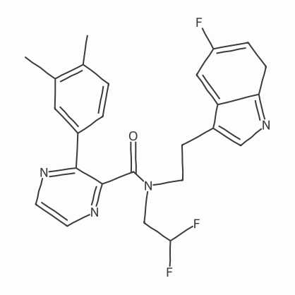 Cc1ccc(-c2nccnc2C(=O)N(CCC2=CN=C3CC=C(F)C=C23)CC(F)F)cc1C